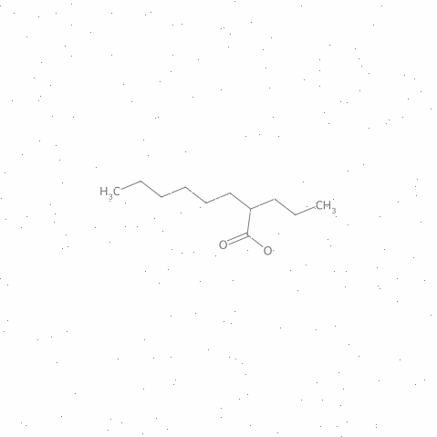 CCCCCCC(CCC)C([O])=O